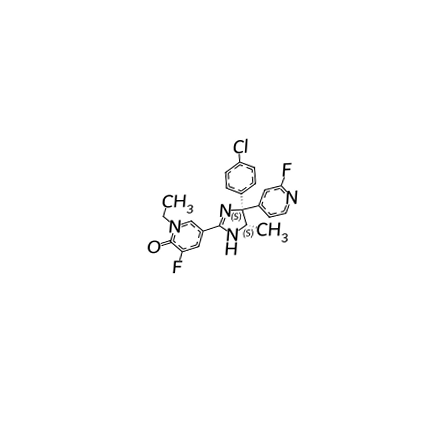 CCn1cc(C2=N[C@@](c3ccc(Cl)cc3)(c3ccnc(F)c3)[C@H](C)N2)cc(F)c1=O